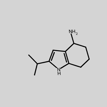 CC(C)c1cc2c([nH]1)CCCC2N